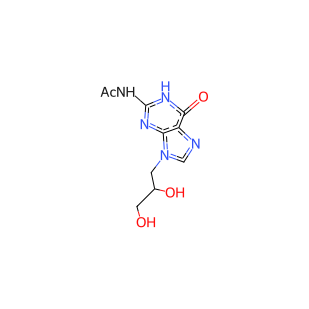 CC(=O)Nc1nc2c(ncn2CC(O)CO)c(=O)[nH]1